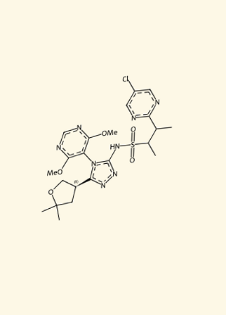 COc1ncnc(OC)c1-n1c(NS(=O)(=O)C(C)C(C)c2ncc(Cl)cn2)nnc1[C@@H]1COC(C)(C)C1